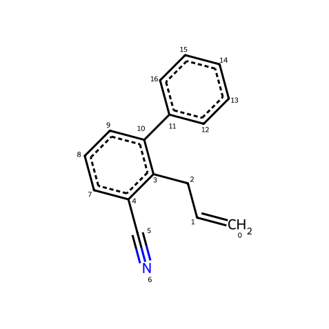 C=CCc1c(C#N)cccc1-c1ccccc1